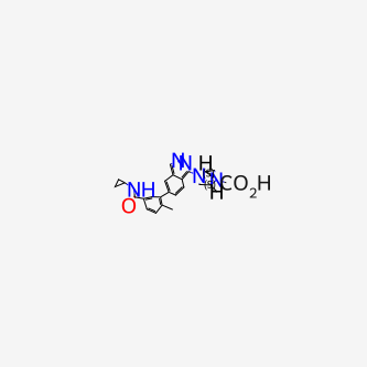 Cc1ccc(C(=O)NC2CC2)cc1-c1ccc2c(N3C[C@@H]4C[C@H]3CN4C(=O)O)nncc2c1